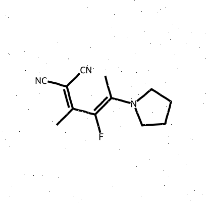 CC(=C(C#N)C#N)/C(F)=C(\C)N1CCCC1